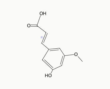 COc1cc(O)cc(/C=C/C(=O)O)c1